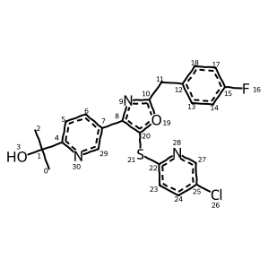 CC(C)(O)c1ccc(-c2nc(Cc3ccc(F)cc3)oc2Sc2ccc(Cl)cn2)cn1